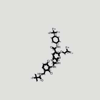 CC(C)(F)C(=O)NCc1ccc(Cl)c(Nc2nc3cc(C(=O)N[C@H]4CC[C@H](C(F)(F)F)CC4)c(OCC(F)F)nc3[nH]2)c1Cl